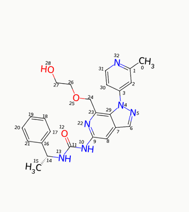 Cc1cc(-n2ncc3cc(NC(=O)N[C@H](C)c4ccccc4)nc(COCCO)c32)ccn1